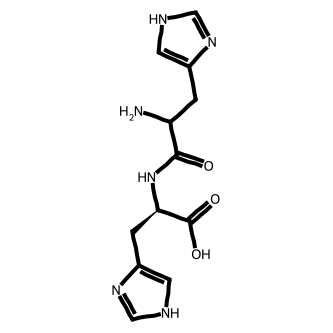 NC(Cc1c[nH]cn1)C(=O)N[C@H](Cc1c[nH]cn1)C(=O)O